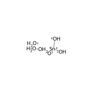 O.O.O.[O]=[Sn]([OH])[OH]